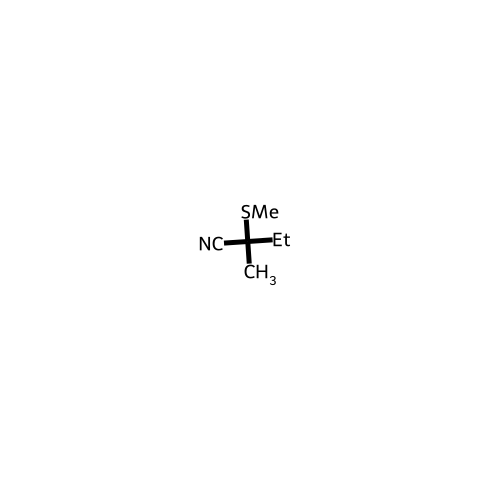 CCC(C)(C#N)SC